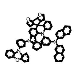 c1cc(N(c2ccc3ccccc3c2)c2ccc3ccccc3c2)cc(N2c3ccccc3C3(c4ccoc4-c4occc43)c3ccc4c(c32)c2ccccc2n4-c2cccc(N3c4ccccc4Oc4ccccc43)c2)c1